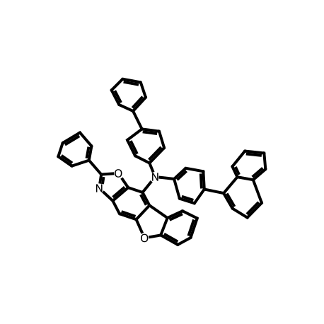 c1ccc(-c2ccc(N(c3ccc(-c4cccc5ccccc45)cc3)c3c4oc(-c5ccccc5)nc4cc4oc5ccccc5c34)cc2)cc1